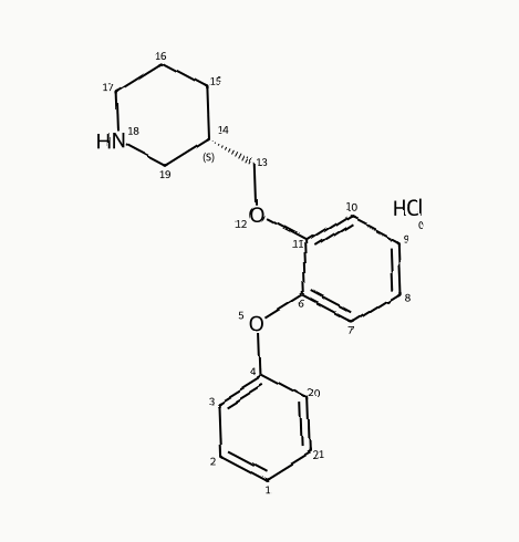 Cl.c1ccc(Oc2ccccc2OC[C@H]2CCCNC2)cc1